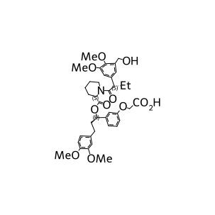 CC[C@H](C(=O)N1CCCC[C@H]1C(=O)O[C@H](CCc1ccc(OC)c(OC)c1)c1cccc(OCC(=O)O)c1)c1cc(CO)c(OC)c(OC)c1